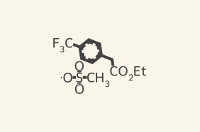 CCOC(=O)Cc1ccc(C(F)(F)F)cc1.CS([O])(=O)=O